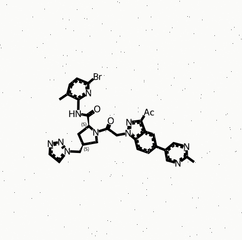 CC(=O)c1nn(CC(=O)N2C[C@@H](Cn3ccnn3)C[C@H]2C(=O)Nc2nc(Br)ccc2C)c2ccc(-c3cnc(C)nc3)cc12